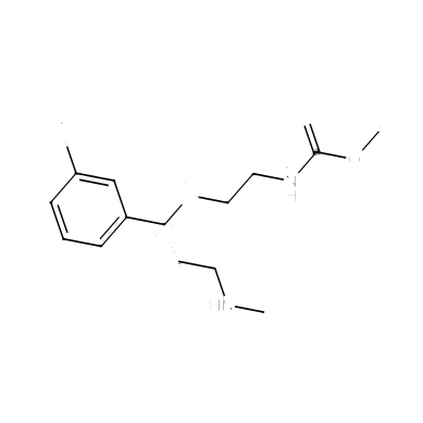 CNCC[C@@H](OCCNC(=O)OC)c1cccc(Cl)c1